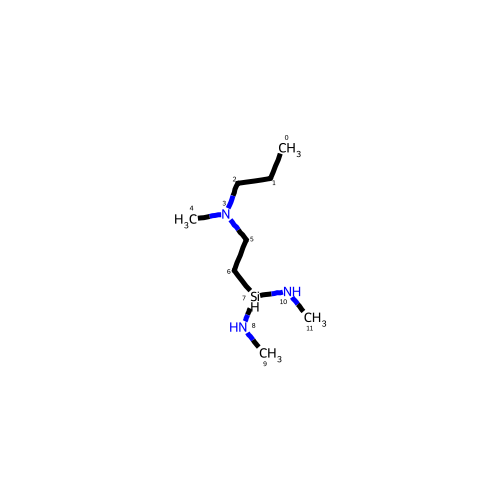 CCCN(C)CC[SiH](NC)NC